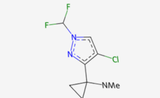 CNC1(c2nn(C(F)F)cc2Cl)CC1